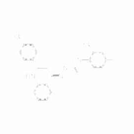 O=C(NN=C1CC(c2ccc(Cl)cc2)Nc2ccccc21)Nc1ccc(Cl)cc1Cl